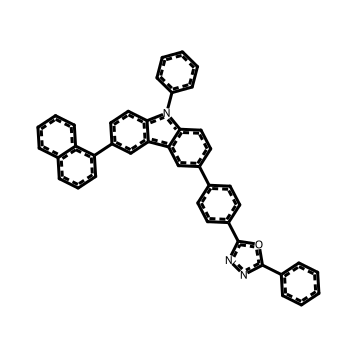 c1ccc(-c2nnc(-c3ccc(-c4ccc5c(c4)c4cc(-c6cccc7ccccc67)ccc4n5-c4ccccc4)cc3)o2)cc1